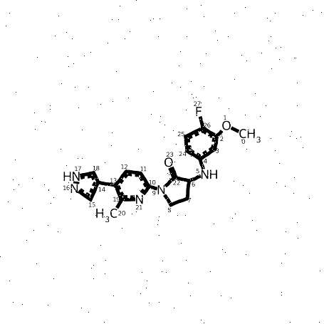 COc1cc(NC2CCN(c3ccc(-c4cn[nH]c4)c(C)n3)C2=O)ccc1F